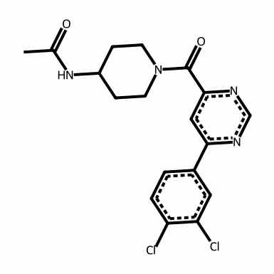 CC(=O)NC1CCN(C(=O)c2cc(-c3ccc(Cl)c(Cl)c3)ncn2)CC1